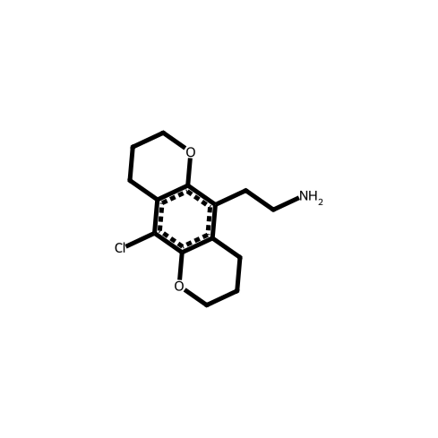 NCCc1c2c(c(Cl)c3c1OCCC3)OCCC2